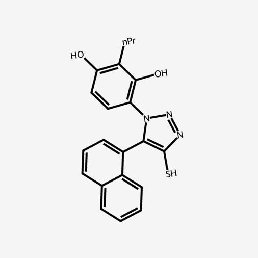 CCCc1c(O)ccc(-n2nnc(S)c2-c2cccc3ccccc23)c1O